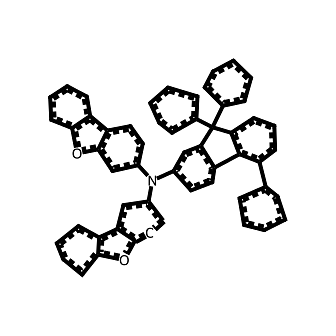 c1ccc(-c2cccc3c2-c2ccc(N(c4ccc5c(c4)oc4ccccc45)c4ccc5oc6ccccc6c5c4)cc2C3(c2ccccc2)c2ccccc2)cc1